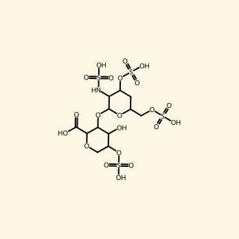 O=C(O)C1OCC(OS(=O)(=O)O)C(O)C1OC1OC(COS(=O)(=O)O)CC(OS(=O)(=O)O)C1NS(=O)(=O)O